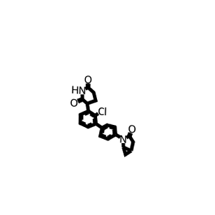 O=C1CCC(c2cccc(-c3ccc(N4C(=O)CC5CC54)cc3)c2Cl)C(=O)N1